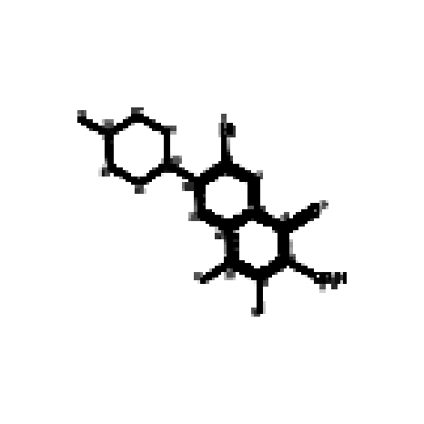 CCc1cc2c(=O)c(C(=O)O)c(C)n(C)c2cc1N1CCN(C)CC1